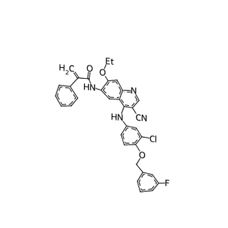 C=C(C(=O)Nc1cc2c(Nc3ccc(OCc4cccc(F)c4)c(Cl)c3)c(C#N)cnc2cc1OCC)c1ccccc1